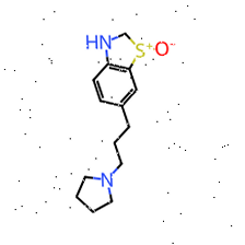 [O-][S+]1CNc2ccc(CCCN3CCCC3)cc21